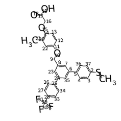 CSc1ccc(-c2cc(COc3ccc(OCC(=O)O)c(C)c3)cc(-c3ccc(C(F)(F)F)cc3)c2)cc1